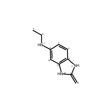 C=C1Nc2ccc(NCC)cc2N1